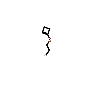 [CH2]CCSC1=CCC1